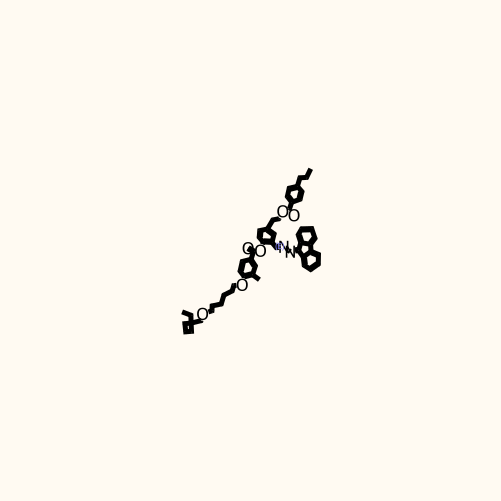 CCCc1ccc(C(=O)OCCc2ccc(OC(=O)c3ccc(OCCCCCCOCC4(CC)CCC4)c(C)c3)c(/C=N/N=C3c4ccccc4-c4ccccc43)c2)cc1